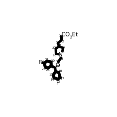 CCOC(=O)C=CCC1CCN(CCOC(c2ccc(F)cc2)c2ccc(F)cc2)CC1